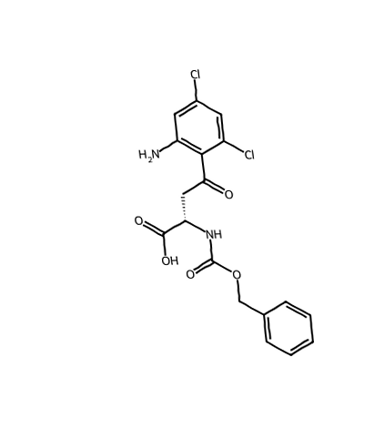 Nc1cc(Cl)cc(Cl)c1C(=O)C[C@H](NC(=O)OCc1ccccc1)C(=O)O